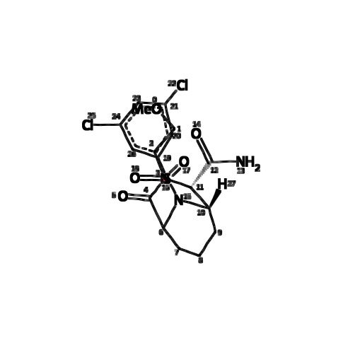 COCCN1C(=O)C2CCC[C@@H]([C@H]1C(N)=O)N2S(=O)(=O)c1cc(Cl)cc(Cl)c1